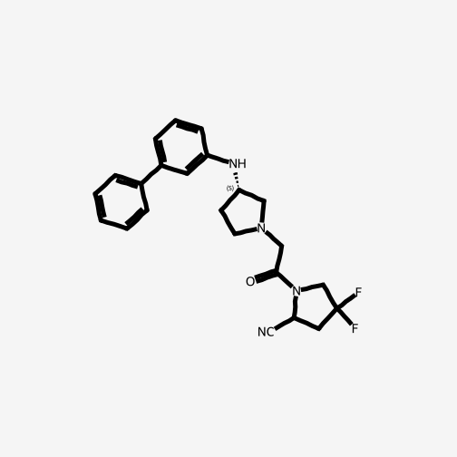 N#CC1CC(F)(F)CN1C(=O)CN1CC[C@H](Nc2cccc(-c3ccccc3)c2)C1